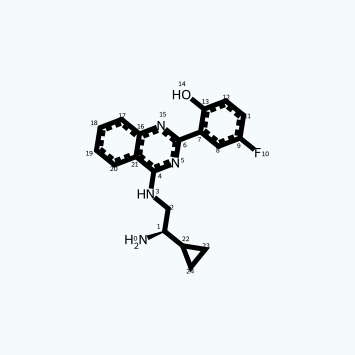 N[C@@H](CNc1nc(-c2cc(F)ccc2O)nc2ccccc12)C1CC1